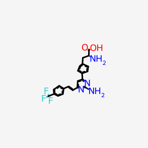 Nc1nc(C=Cc2ccc(C(F)(F)F)cc2)cc(-c2ccc(C[C@H](N)C(=O)O)cc2)n1